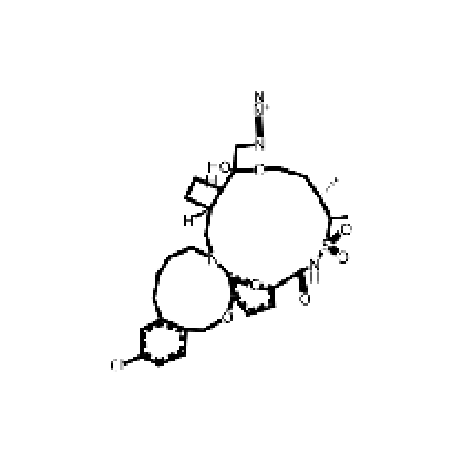 C[C@@H]1[C@@H](C)CCC[C@](O)(CN=[N+]=[N-])[C@@H]2CC[C@H]2CN2CCCCc3cc(Cl)ccc3COc3ccc(cc32)C(=O)NS1(=O)=O